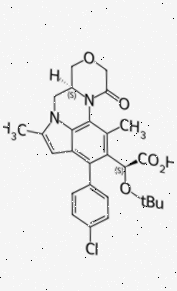 Cc1c([C@H](OC(C)(C)C)C(=O)O)c(-c2ccc(Cl)cc2)c2cc(C)n3c2c1N1C(=O)COC[C@@H]1C3